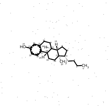 CCCC[C@H]1CC[C@H]2[C@@H]3CCc4cc(O)ccc4[C@H]3CC[C@]12C